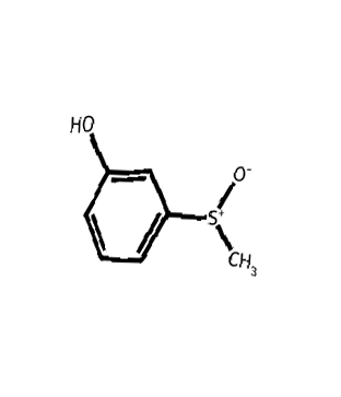 C[S+]([O-])c1cccc(O)c1